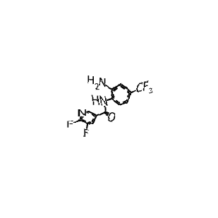 Nc1cc(C(F)(F)F)ccc1NC(=O)c1cnc(F)c(F)c1